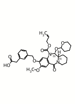 C=CCOC(=O)N1c2cc(OCc3cccc(CC(=O)O)c3)c(OC)cc2C(=O)N2CCCC[C@H]2[C@@H]1OC1CCCCO1